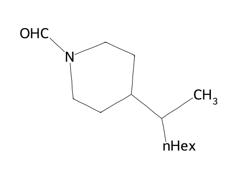 CCCCCCC(C)C1CCN(C=O)CC1